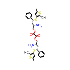 Cc1cc(S[C@H](C[C@H](N)COC(=O)C(=O)OC[C@@H](N)C[C@@H](Sc2cc(C)sc2C#N)c2ccccc2)c2ccccc2)c(C#N)s1